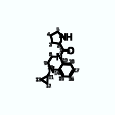 O=C(C1CCCN1)N1CCN(C2CC2)c2ccccc21